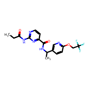 CCC(=O)Nc1nccc(C(=O)NC(C)c2ccc(OCC(F)(F)F)nc2)n1